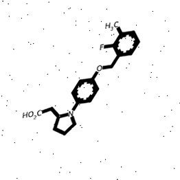 Cc1cccc(COc2ccc(N3CCCC3CC(=O)O)cc2)c1F